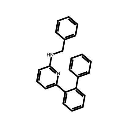 c1ccc(CNc2cccc(-c3ccccc3-c3ccccc3)n2)cc1